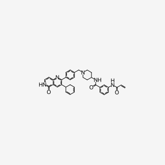 C=CC(=O)Nc1cccc(C(=O)NC2CCN(Cc3ccc(-c4nc5cc[nH]c(=O)c5cc4C4C=CC=CC4)cc3)CC2)c1